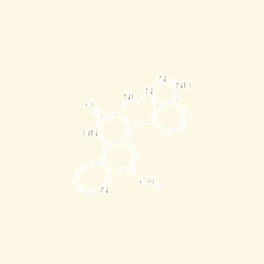 Cc1cc2c(-c3cccc4[nH]nnc34)c(N)c(=O)[nH]c2c2cccnc12